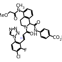 COCC(=O)N(C)c1cccc2c1CCN(C(=O)/C=C/c1c(-n3cnnn3)ccc(Cl)c1F)C2C(=O)Nc1ccc(C(=O)O)cc1